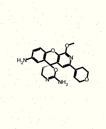 COc1nc(C2=CCOCC2)cc2c1Oc1ccc(N)cc1[C@@]21CCN=C(N)O1